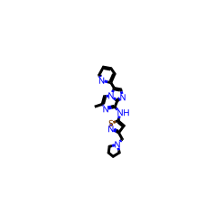 Cc1cn2c(-c3ccccn3)cnc2c(Nc2cc(CN3CCCC3)ns2)n1